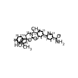 C[C@@H](c1ccc(-c2ccc(C(N)=O)cn2)cc1)N1CCC(CC(C)(C)O)(c2ccccc2)OC1=O